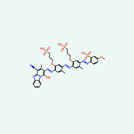 COc1ccc(N=Nc2cc(OCCCS(=O)(=O)O)c(N=Nc3cc(OCCCS(=O)(=O)O)c(N=Nc4c(C)c(C#N)c5nc6ccccc6n5c4O)cc3C)cc2C)c(S(=O)(=O)O)c1